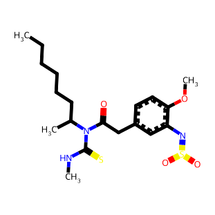 CCCCCCC(C)N(C(=O)Cc1ccc(OC)c(N=S(=O)=O)c1)C(=S)NC